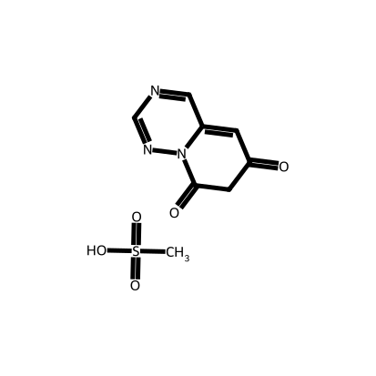 CS(=O)(=O)O.O=C1C=C2C=NC=NN2C(=O)C1